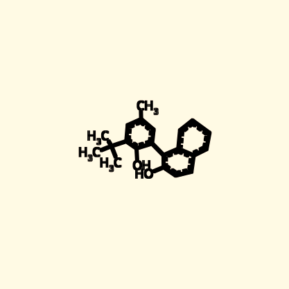 Cc1cc(-c2c(O)ccc3ccccc23)c(O)c(C(C)(C)C)c1